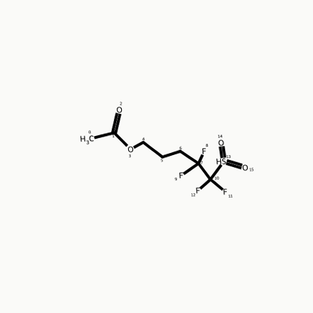 CC(=O)OCCCC(F)(F)C(F)(F)[SH](=O)=O